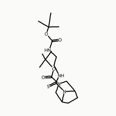 CC(C)(C)OC(=O)NCCNC(=S)N1C2CCC1CN(C(=O)OC(C)(C)C)C2